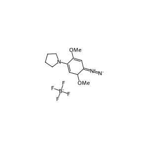 COC1=CC(=[N+]=[N-])C(OC)C=C1N1CCCC1.F[B-](F)(F)F